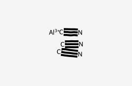 [Al+3].[C-]#N.[C-]#N.[C-]#N